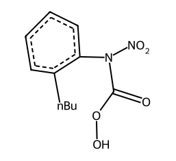 CCCCc1ccccc1N(C(=O)OO)[N+](=O)[O-]